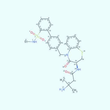 CCNS(=O)(=O)c1ccccc1-c1ccc(CN2C(=O)[C@H](NC(=O)CC(C)(C)N)CSc3ccccc32)cc1